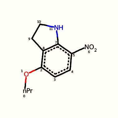 CCCOc1ccc([N+](=O)[O-])c2c1CCN2